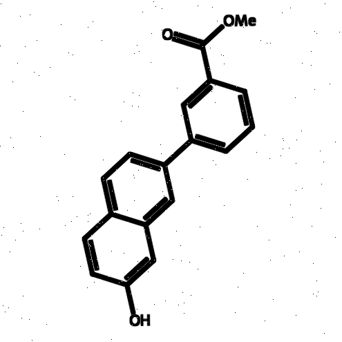 COC(=O)c1cccc(-c2ccc3ccc(O)cc3c2)c1